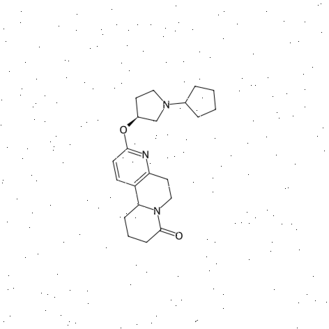 O=C1CCCC2c3ccc(O[C@H]4CCN(C5CCCC5)C4)nc3CCN12